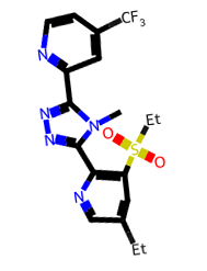 CCc1cnc(-c2nnc(-c3cc(C(F)(F)F)ccn3)n2C)c(S(=O)(=O)CC)c1